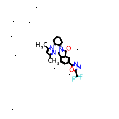 Cc1cc(C)n([C@@H]2CCCC[C@H]2N2Cc3ccc(-c4nnc(C(F)F)o4)cc3C2=O)n1